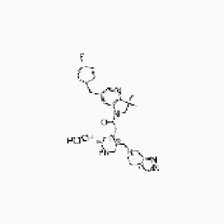 C[C@@H]1CN(CC(=O)N2CC(C)(C)c3ncc(Cc4ccc(F)cc4)cc32)[C@@H](CN2CCn3cnnc3C2)CN1.Cl.Cl